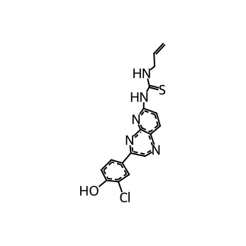 C=CCNC(=S)Nc1ccc2ncc(-c3ccc(O)c(Cl)c3)nc2n1